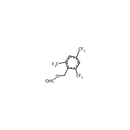 O=[C]OCc1c(C(F)(F)F)cc(C(F)(F)F)cc1C(F)(F)F